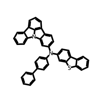 c1ccc(-c2ccc(N(c3ccc4c(c3)sc3ccccc34)c3ccc4c5cccc6c7ccccc7n(c4c3)c65)cc2)cc1